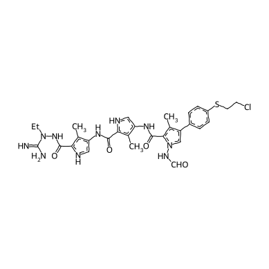 CCN(NC(=O)c1[nH]cc(NC(=O)c2[nH]cc(NC(=O)c3c(C)c(-c4ccc(SCCCl)cc4)cn3NC=O)c2C)c1C)C(=N)N